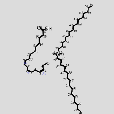 CC/C=C\C/C=C\C/C=C\CCCCCCCC(=O)O.CCCCCCCCCCCCCCCC[N+](C)(C)CCCCCCCCCCCCCCCC